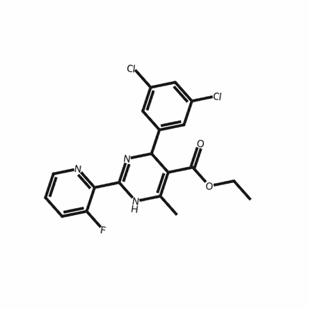 CCOC(=O)C1=C(C)NC(c2ncccc2F)=NC1c1cc(Cl)cc(Cl)c1